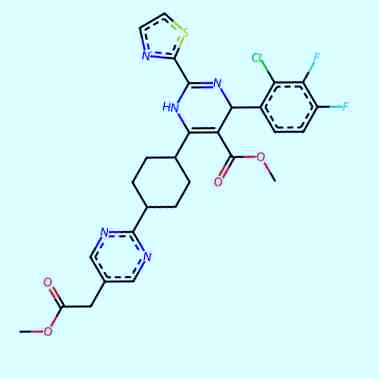 COC(=O)Cc1cnc(C2CCC(C3=C(C(=O)OC)C(c4ccc(F)c(F)c4Cl)N=C(c4nccs4)N3)CC2)nc1